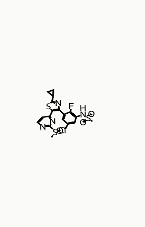 C[S+]([O-])c1nccc(-c2sc(C3CC3)nc2-c2cc(Cl)cc(NS(C)(=O)=O)c2F)n1